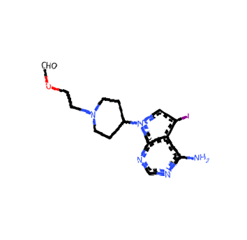 Nc1ncnc2c1c(I)cn2C1CCN(CCOC=O)CC1